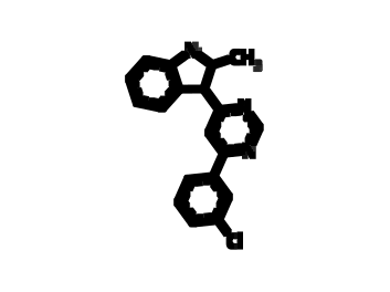 CC1[N]c2ccccc2C1c1cc(-c2cccc(Cl)c2)ncn1